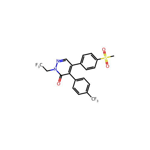 CS(=O)(=O)c1ccc(-c2cnn(CC(F)(F)F)c(=O)c2-c2ccc(C(F)(F)F)cc2)cc1